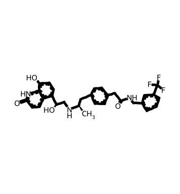 C[C@H](Cc1ccc(CC(=O)NCc2cccc(C(F)(F)F)c2)cc1)NC[C@@H](O)c1ccc(O)c2[nH]c(=O)ccc12